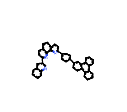 c1ccc2ncc(-c3ccc4ccc5ccc(-c6ccc(-c7ccc8c9ccccc9c9ccccc9c8c7)cc6)nc5c4n3)cc2c1